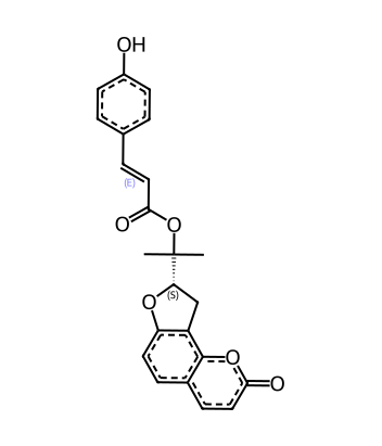 CC(C)(OC(=O)/C=C/c1ccc(O)cc1)[C@@H]1Cc2c(ccc3ccc(=O)oc23)O1